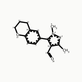 Cc1nn(C)c(-c2ccc3c(c2)CCCO3)c1C=O